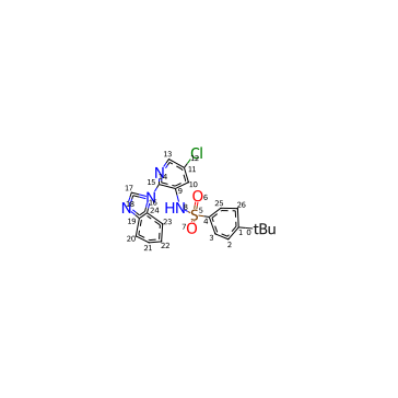 CC(C)(C)c1ccc(S(=O)(=O)Nc2cc(Cl)cnc2-n2cnc3ccccc32)cc1